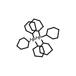 C1CCC([PH](C2CCCCC2)(C2CCCCC2)[PH](C2CCCCC2)(C2CCCCC2)C2CCCCC2)CC1